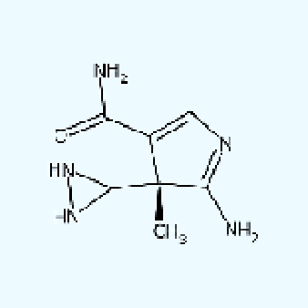 C[C@@]1(C2NN2)C(C(N)=O)=CN=C1N